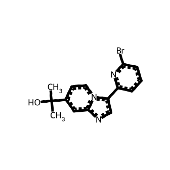 CC(C)(O)c1ccn2c(-c3cccc(Br)n3)cnc2c1